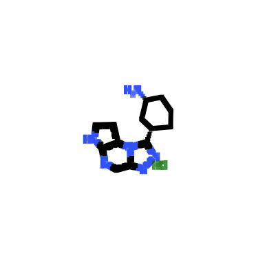 Cl.N[C@@H]1CCC[C@H](c2nnc3cnc4[nH]ccc4n23)C1